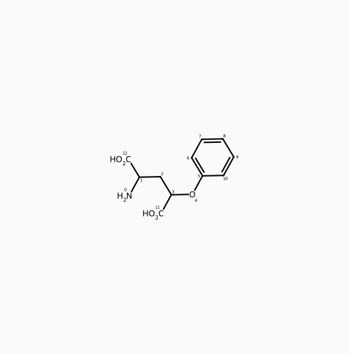 NC(CC(Oc1ccccc1)C(=O)O)C(=O)O